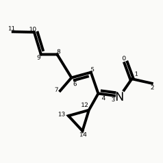 C=C(C)/N=C(\C=C(/C)C/C=C/C)C1CC1